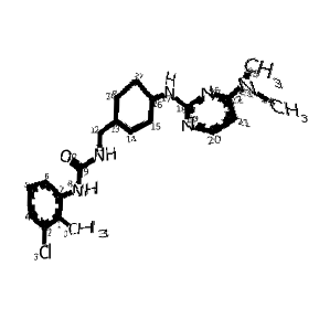 Cc1c(Cl)cccc1NC(=O)NCC1CCC(Nc2nccc(N(C)C)n2)CC1